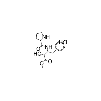 COC(=O)C(O)C(Cc1ccccc1)NC(=O)[C@@H]1CCCN1.Cl